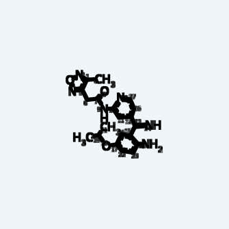 Cc1nonc1CC(=O)Nc1cc(C(=N)c2cc(OC(C)C)ccc2N)ccn1